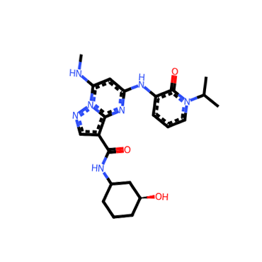 CNc1cc(Nc2cccn(C(C)C)c2=O)nc2c(C(=O)NC3CCC[C@H](O)C3)cnn12